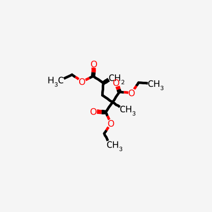 C=C(CC(C)(C(=O)OCC)C(=O)OCC)C(=O)OCC